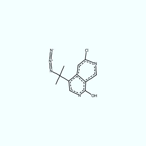 CC(C)(N=[N+]=[N-])c1cnc(O)c2cnc(Cl)cc12